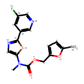 CN(C(=O)OCc1ccc([N+](=O)[O-])o1)c1cnc(-c2cncc(F)c2)s1